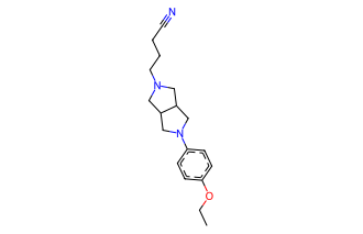 CCOc1ccc(N2CC3CN(CCCC#N)CC3C2)cc1